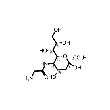 NCC(=O)N[C@H]1[C@H]([C@H](O)[C@H](O)CO)O[C@](O)(C(=O)O)C[C@@H]1O